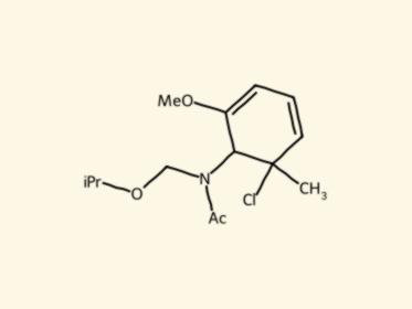 COC1=CC=CC(C)(Cl)C1N(COC(C)C)C(C)=O